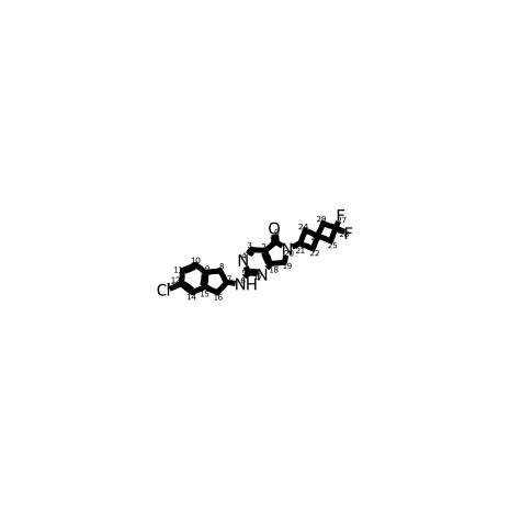 O=C1c2cnc(NC3Cc4ccc(Cl)cc4C3)nc2CN1C1CC2(C1)CC(F)(F)C2